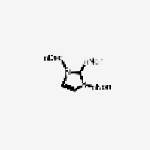 CCCCCCCCCCN1C=CN(CCCCCCCCC)C1CCCCCCCCC